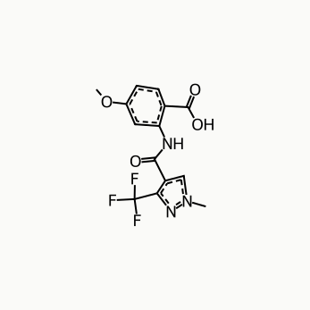 COc1ccc(C(=O)O)c(NC(=O)c2cn(C)nc2C(F)(F)F)c1